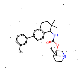 CC(C)(C)c1cccc(-c2ccc3c(c2)CCC(C)(C)C3NC(=O)O[C@@H]2CN3CCC2CC3)c1